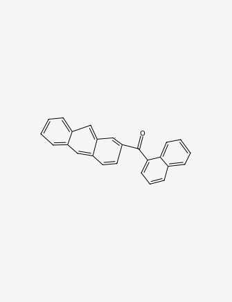 O=C(c1[c]c2cc3ccccc3cc2cc1)c1cccc2ccccc12